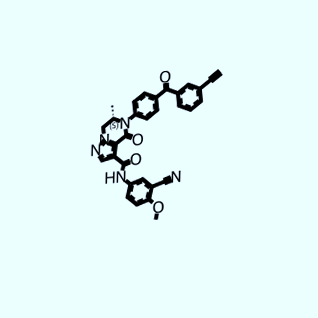 C#Cc1cccc(C(=O)c2ccc(N3C(=O)c4c(C(=O)Nc5ccc(OC)c(C#N)c5)cnn4C[C@@H]3C)cc2)c1